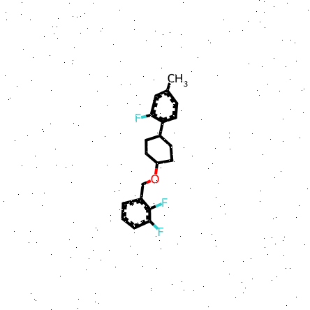 Cc1ccc(C2CCC(OCc3cccc(F)c3F)CC2)c(F)c1